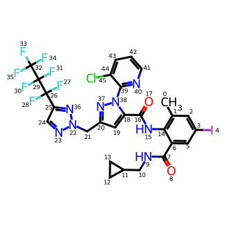 Cc1cc(I)cc(C(=O)NCC2CC2)c1NC(=O)c1cc(Cn2ncc(C(F)(F)C(F)(F)C(F)(F)F)n2)nn1-c1ncccc1Cl